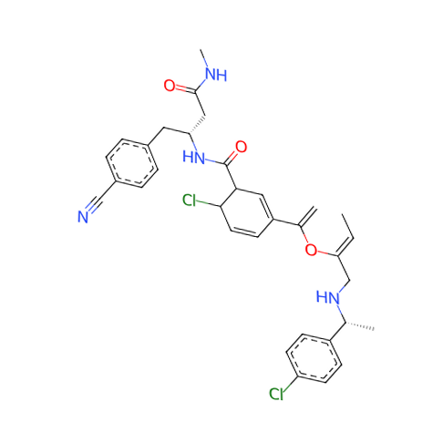 C=C(O/C(=C\C)CN[C@H](C)c1ccc(Cl)cc1)C1=CC(C(=O)N[C@@H](CC(=O)NC)Cc2ccc(C#N)cc2)C(Cl)C=C1